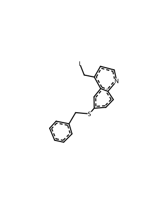 ICc1ccnc2ccc(SCc3ccccc3)cc12